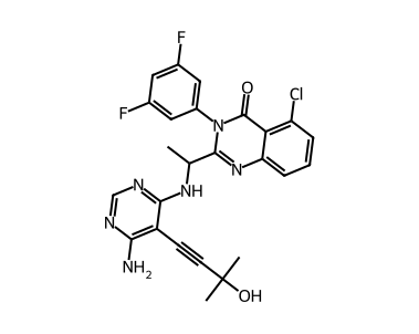 CC(Nc1ncnc(N)c1C#CC(C)(C)O)c1nc2cccc(Cl)c2c(=O)n1-c1cc(F)cc(F)c1